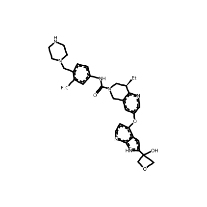 CC[C@@H]1CN(C(=O)Nc2ccc(CN3CCNCC3)c(C(F)(F)F)c2)Cc2cc(Oc3ccnc4[nH]c(C5(O)COC5)cc34)cnc21